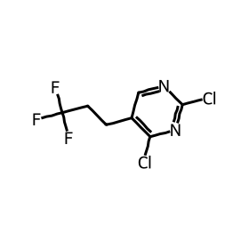 FC(F)(F)CCc1cnc(Cl)nc1Cl